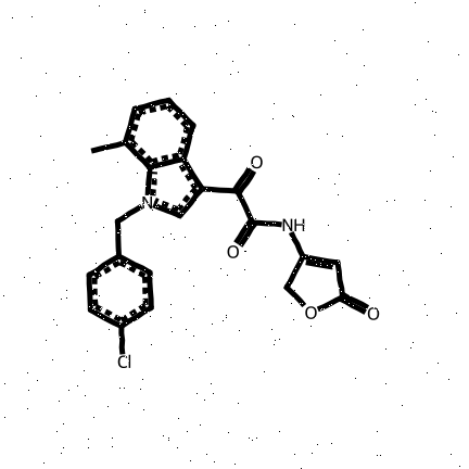 Cc1cccc2c(C(=O)C(=O)NC3=CC(=O)OC3)cn(Cc3ccc(Cl)cc3)c12